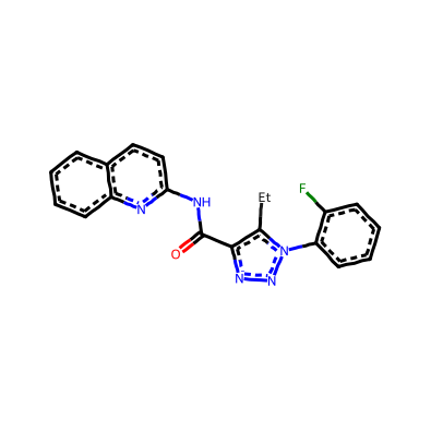 CCc1c(C(=O)Nc2ccc3ccccc3n2)nnn1-c1ccccc1F